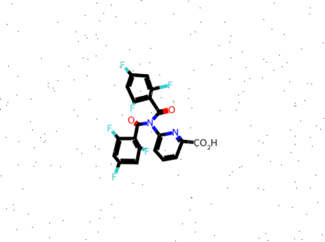 O=C(O)c1cccc(N(C(=O)c2c(F)cc(F)cc2F)C(=O)c2c(F)cc(F)cc2F)n1